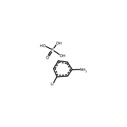 O=P(O)(O)O.[Li][c]1cccc(N)c1